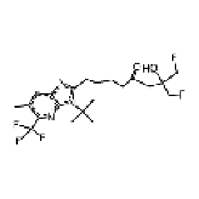 Cc1cc2nc(CCCCC(=O)CC(O)(CF)CF)n(C(C)(C)C)c2nc1C(F)(F)F